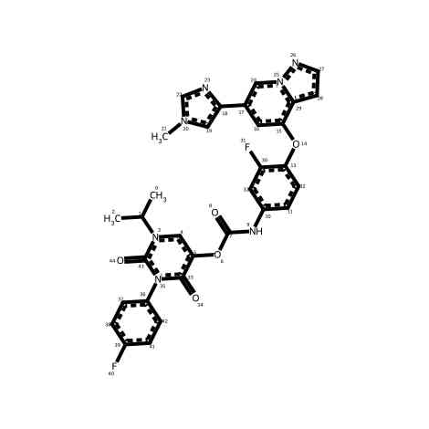 CC(C)n1cc(OC(=O)Nc2ccc(Oc3cc(-c4cn(C)cn4)cn4nccc34)c(F)c2)c(=O)n(-c2ccc(F)cc2)c1=O